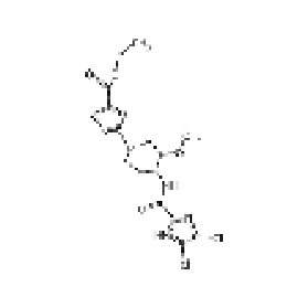 CCOC(=O)c1cnc(N2CCC(NC(=O)c3nc(Cl)c(Cl)[nH]3)C(OC)C2)s1